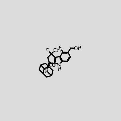 N#CC12CC3CC(C1)N(C(=O)CC(F)(c1c[nH]c4ccc(CO)c(F)c14)C(F)(F)F)C(C3)C2